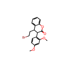 COc1ccc(C2C(=O)Oc3ccccc3C2CCBr)c(OC)c1